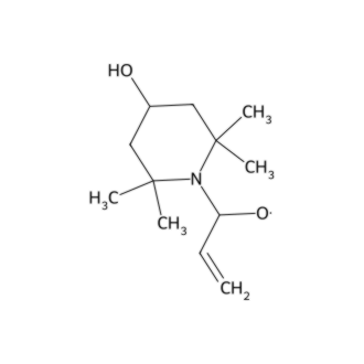 C=CC([O])N1C(C)(C)CC(O)CC1(C)C